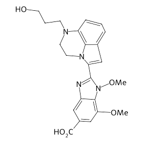 COc1cc(C(=O)O)cc2nc(-c3cc4cccc5c4n3CCN5CCCO)n(OC)c12